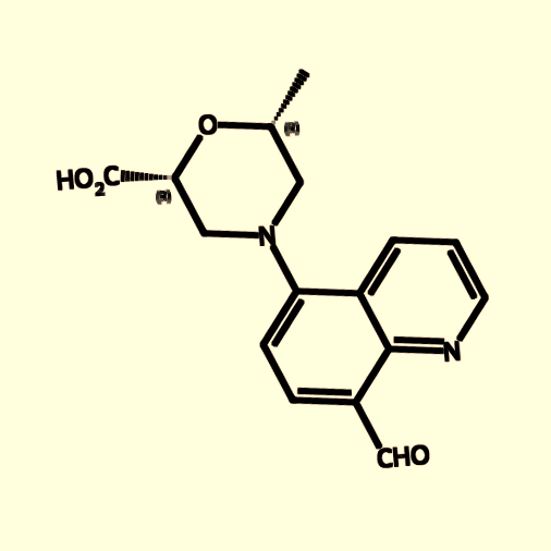 C[C@@H]1CN(c2ccc(C=O)c3ncccc23)C[C@H](C(=O)O)O1